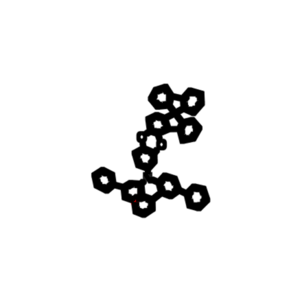 c1ccc(-c2cccc(N(c3ccc4c(c3)Oc3c(ccc5c3-c3ccccc3C53c5ccccc5-c5ccccc53)O4)c3ccc(-c4ccccc4)cc3-c3ccccc3)c2)cc1